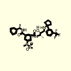 C[C@H](NC(=O)c1cc(C(=O)N[C@H](C)c2ccccc2)cc(N(C)S(C)(=O)=O)c1)[C@H](O)CNC1(c2cccc(C(F)(F)F)c2)CCCC1